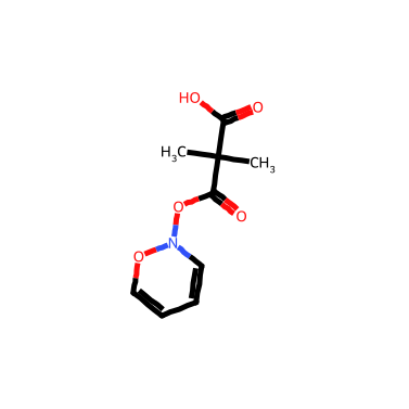 CC(C)(C(=O)O)C(=O)ON1C=CC=CO1